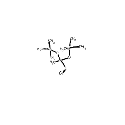 C[Si](C)(C)O[Si](C)([O][Ce])O[Si](C)(C)C